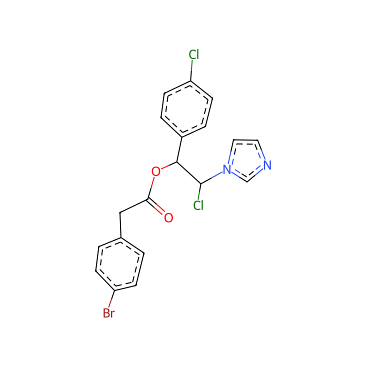 O=C(Cc1ccc(Br)cc1)OC(c1ccc(Cl)cc1)C(Cl)n1ccnc1